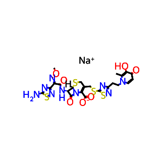 CO/N=C(\C(=O)N[C@@H]1C(=O)N2C(C(=O)[O-])=C(CSc3nc(CCn4ccc(=O)c(O)c4C)ns3)CS[C@@H]12)c1nsc(N)n1.[Na+]